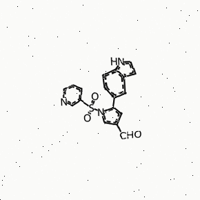 O=Cc1cc(-c2ccc3[nH]ccc3c2)n(S(=O)(=O)c2cccnc2)c1